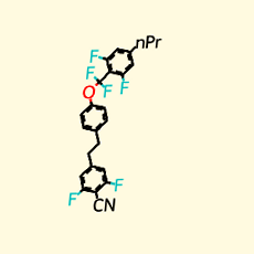 CCCc1cc(F)c(C(F)(F)Oc2ccc(CCc3cc(F)c(C#N)c(F)c3)cc2)c(F)c1